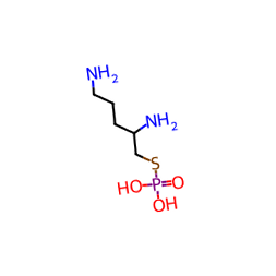 NCCCC(N)CSP(=O)(O)O